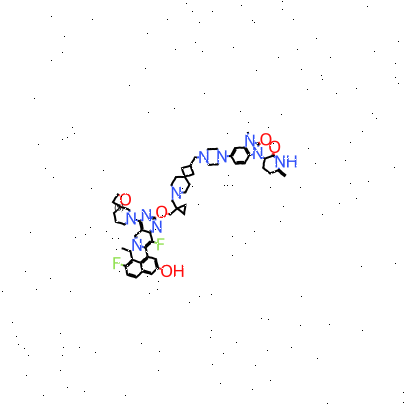 C=C1CCC(n2c(=O)n(C)c3cc(N4CCN(CC5CC6(CCN(CC7(COc8nc(N9CCC[C@]%10(CCO%10)C9)c9cnc(-c%10cc(O)cc%11ccc(F)c(CC)c%10%11)c(F)c9n8)CC7)CC6)C5)CC4)ccc32)C(=O)N1